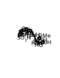 CCc1cc(-c2n[nH]c(C(=O)NCCCNC(=O)Cc3ccc4c(c3)C(C)(C)C3=C5C=C6C7=[N+](CCC6OC5CCN34)c3ccc(S(=O)(=O)O)cc3C7(C)C)c2-c2ccc(OC)cc2)c(O)cc1O